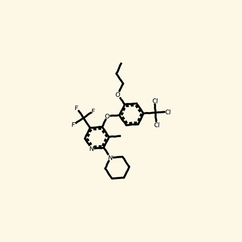 CCCOc1cc(C(Cl)(Cl)Cl)ccc1Oc1c(C(F)(F)F)cnc(N2CCCCC2)c1C